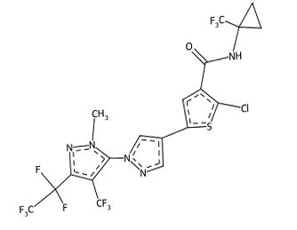 Cn1nc(C(F)(F)C(F)(F)F)c(C(F)(F)F)c1-n1cc(-c2cc(C(=O)NC3(C(F)(F)F)CC3)c(Cl)s2)cn1